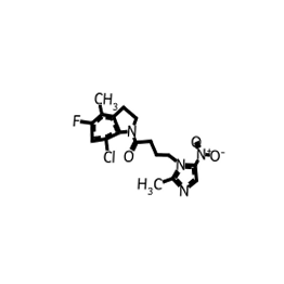 Cc1c(F)cc(Cl)c2c1CCN2C(=O)CCCn1c([N+](=O)[O-])cnc1C